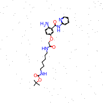 CC(C)(C)OC(=O)NCCCCCCNC(=O)COc1ccc(N)c(C(=O)Nc2ccccn2)c1